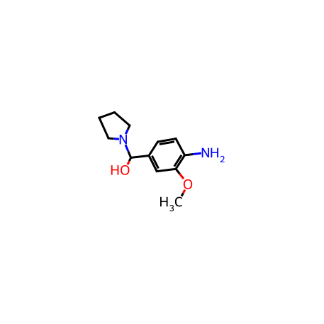 COc1cc(C(O)N2CCCC2)ccc1N